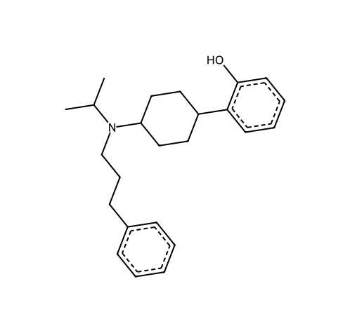 CC(C)N(CCCc1ccccc1)C1CCC(c2ccccc2O)CC1